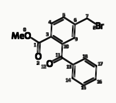 COC(=O)c1ccc(CBr)cc1C(=O)c1ccccc1